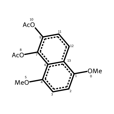 COc1ccc(OC)c2c(OC(C)=O)c(OC(C)=O)ccc12